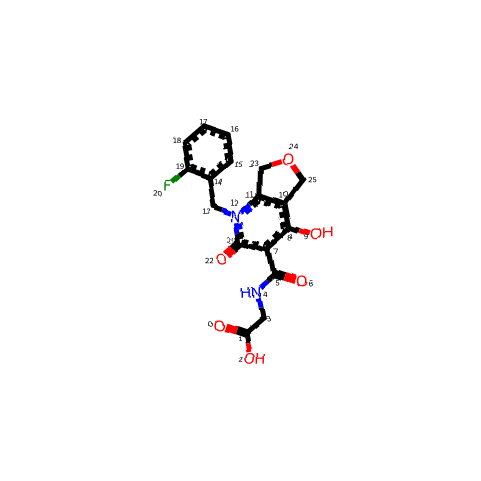 O=C(O)CNC(=O)c1c(O)c2c(n(Cc3ccccc3F)c1=O)COC2